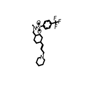 CN(CC1CCC(C=CCN2CCCCC2)CC1)S(=O)(=O)c1ccc(C(F)(F)F)cc1